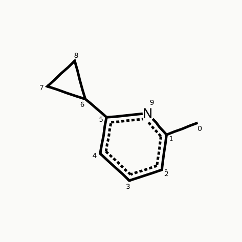 Cc1[c]ccc(C2CC2)n1